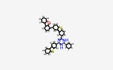 c1ccc(C2NC(c3ccc4sc5ccc(-c6cccc7c6oc6ccccc67)cc5c4c3)=NC(c3ccc4c(c3)sc3ccccc34)N2)cc1